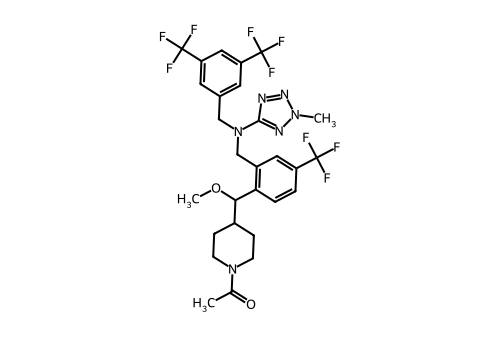 COC(c1ccc(C(F)(F)F)cc1CN(Cc1cc(C(F)(F)F)cc(C(F)(F)F)c1)c1nnn(C)n1)C1CCN(C(C)=O)CC1